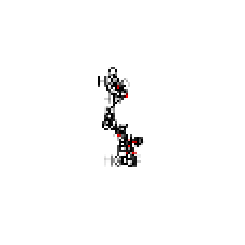 C#Cc1c(F)ccc2cc(O)cc(-c3ncc4c(N5CC6CCC(C5)N6)nc(OC[C@@]56CC[C@@H](COC(=O)N7CCN(CCCCNc8cccc9c8C(=O)N(C8CCC(=O)NC8=O)C9=O)CC7)N5CC(=C)C6)nc4c3F)c12